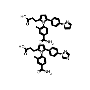 Cc1cc(C(N)=O)ccc1-n1c(CCC(=O)O)ccc1-c1ccc(-n2cccn2)cc1.Cc1cc(C(N)=O)ccc1-n1c(CCC(=O)O)ccc1-c1ccc(-n2cncn2)cc1